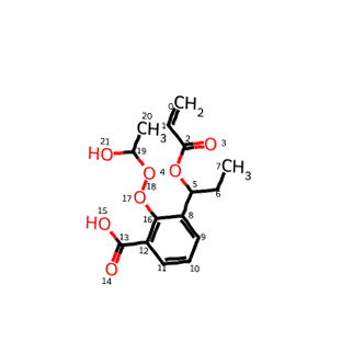 C=CC(=O)OC(CC)c1cccc(C(=O)O)c1OOC(C)O